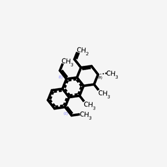 C=CC1=C[C@H](C)C(C)c2c1/c(=C\C)c1ccc/c(=C/C)c1c2C